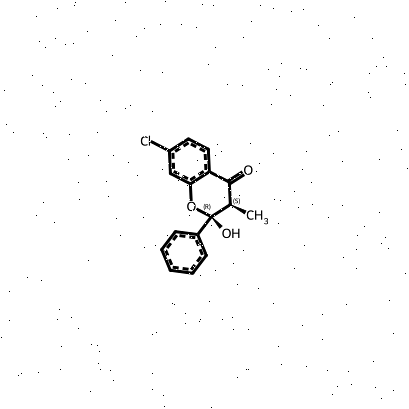 C[C@@H]1C(=O)c2ccc(Cl)cc2O[C@@]1(O)c1ccccc1